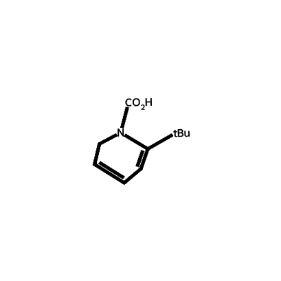 CC(C)(C)C1=CC=CCN1C(=O)O